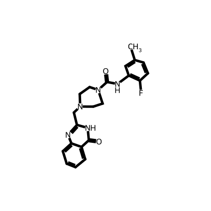 Cc1ccc(F)c(NC(=O)N2CCN(Cc3nc4ccccc4c(=O)[nH]3)CC2)c1